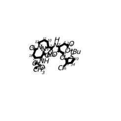 CC(C)(C)OC(=O)CC(NC(=O)C1CCCN2C(=O)CCC(NS(C)(=O)=O)C(=O)N12)C(O)COc1sccc1Cl